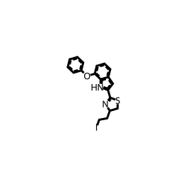 ICCC1CSC(c2cc3cccc(Oc4ccccc4)c3[nH]2)=N1